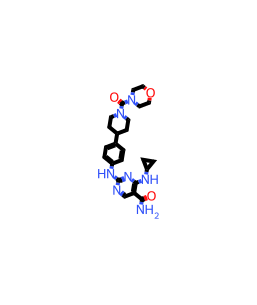 NC(=O)c1cnc(Nc2ccc(C3CCN(C(=O)N4CCOCC4)CC3)cc2)nc1NC1CC1